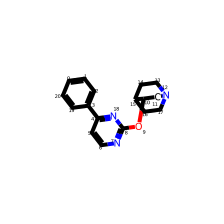 c1ccc(-c2ccnc(OC3CN4CCC3CC4)n2)cc1